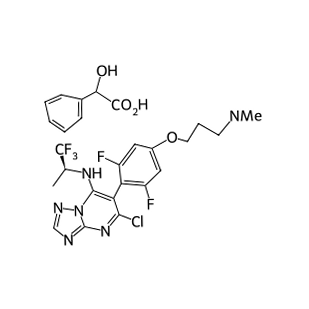 CNCCCOc1cc(F)c(-c2c(Cl)nc3ncnn3c2N[C@@H](C)C(F)(F)F)c(F)c1.O=C(O)C(O)c1ccccc1